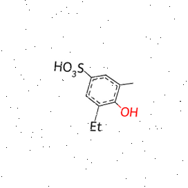 CCc1cc(S(=O)(=O)O)cc(C)c1O